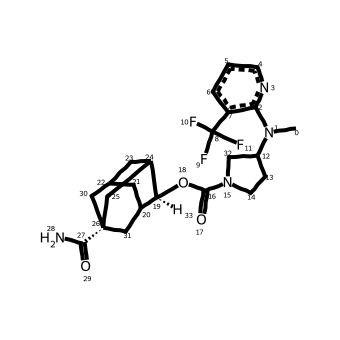 CN(c1ncccc1C(F)(F)F)C1CCN(C(=O)O[C@H]2C3CC4CC2C[C@](C(N)=O)(C4)C3)C1